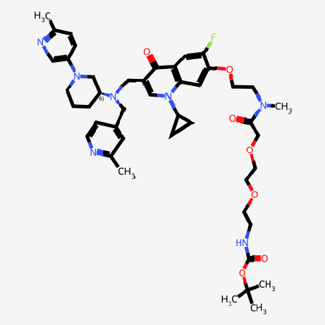 Cc1ccc(N2CCC[C@H](N(Cc3ccnc(C)c3)Cc3cn(C4CC4)c4cc(OCCN(C)C(=O)COCCOCCNC(=O)OC(C)(C)C)c(F)cc4c3=O)C2)cn1